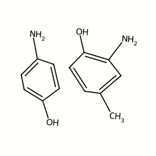 Cc1ccc(O)c(N)c1.Nc1ccc(O)cc1